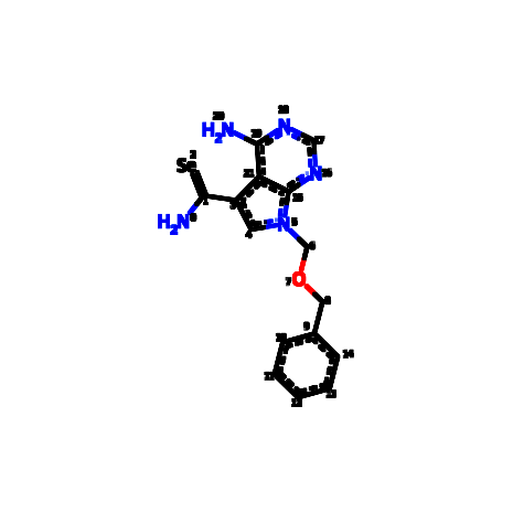 NC(=[Se])c1cn(COCc2ccccc2)c2ncnc(N)c12